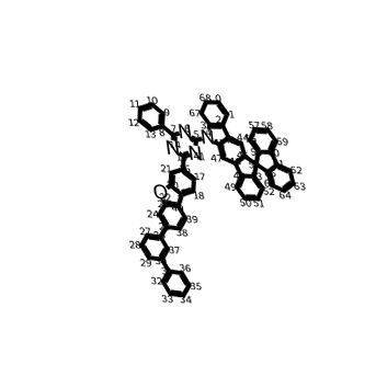 C1=Cc2c(n(-c3nc(-c4ccccc4)nc(-c4ccc5c(c4)oc4cc(-c6cccc(-c7ccccc7)c6)ccc45)n3)c3c2=CC2C(C=3)c3ccccc3C23c2ccccc2-c2ccccc23)CC1